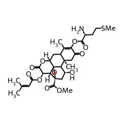 COC(=O)[C@@]12C[C@H](O)C3[C@@]4(C)CC(=O)C(OC(=O)[C@@H](N)CCSC)=C(C)C4C[C@H]4OC(=O)[C@H](OC(=O)C=C(C)C)[C@@H]1[C@@]34CO2